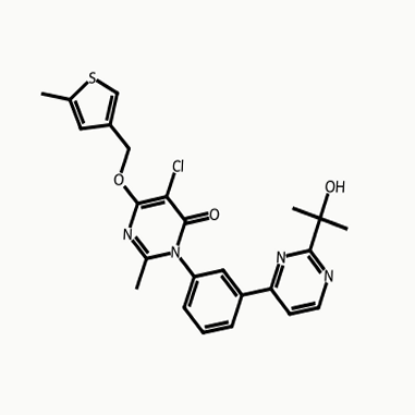 Cc1cc(COc2nc(C)n(-c3cccc(-c4ccnc(C(C)(C)O)n4)c3)c(=O)c2Cl)cs1